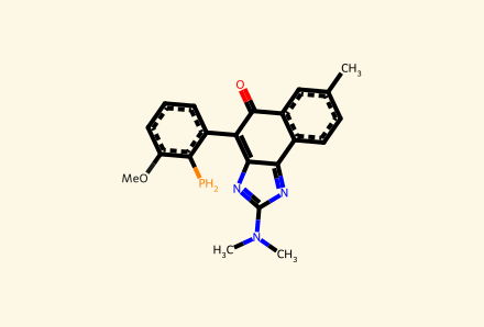 COc1cccc(C2=C3N=C(N(C)C)N=C3c3ccc(C)cc3C2=O)c1P